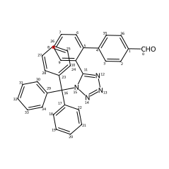 O=Cc1ccc(-c2ccccc2-c2nnnn2C(c2ccccc2)(c2ccccc2)c2ccccc2)cc1